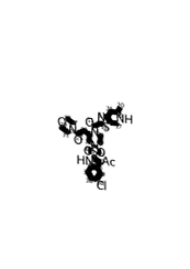 CC(=O)c1c(S(=O)(=O)N2CCN(C(=O)c3nc4c(s3)CNC(C)C4)C(CC(=O)N3CCOCC3)C2)[nH]c2ccc(Cl)cc12